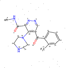 CCCNC(=O)c1nncc(C(=O)c2ccccc2C(F)(F)F)c1N1CCNCC1